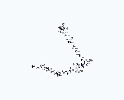 N#CC#Cc1ccc(NC(=O)CCCCn2cc(CCCC(=O)NCCCc3ccc(/N=N/c4ccc(O)cc4OCCOCCOCCOCCNC(=O)CCCC[C@@H]4SCC5NC(=O)NC54)c(C(=O)O)c3)nn2)cc1